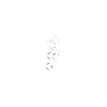 O=C(NC1=CC=C(c2ccccc2)C(Cl)(OC(F)(F)F)C1)C1CCCCN1